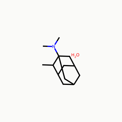 CC1C2CC3CC(C2)CC1(N(C)C)C3.O